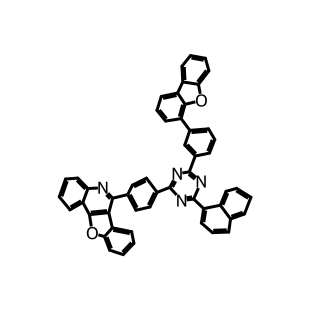 c1cc(-c2nc(-c3ccc(-c4nc5ccccc5c5oc6ccccc6c45)cc3)nc(-c3cccc4ccccc34)n2)cc(-c2cccc3c2oc2ccccc23)c1